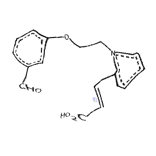 O=Cc1cccc(OCCn2cccc2/C=C/C(=O)O)c1